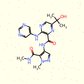 CNC(=O)c1c(NC(=O)c2nc(C(C)(C)O)cnc2Nc2cncnc2)cnn1C